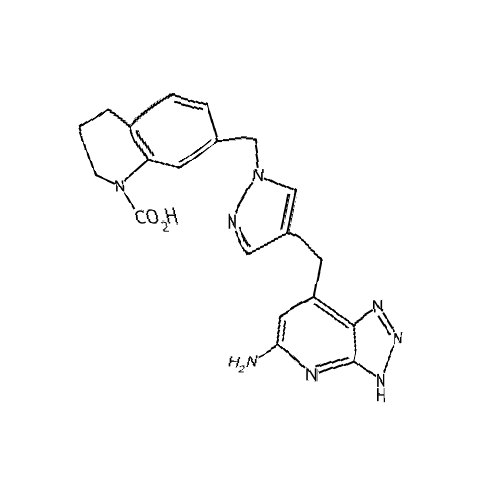 Nc1cc(Cc2cnn(Cc3ccc4c(c3)N(C(=O)O)CCC4)c2)c2nn[nH]c2n1